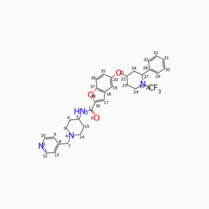 O=C(NC1CCN(Cc2ccncc2)CC1)c1cc2cc(OC3CCN(C(F)(F)F)C(c4ccccc4)C3)ccc2o1